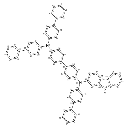 c1ccc(-c2ccc(N(c3ccc(-c4ccccc4)cc3)c3ccc(-c4ccc(N(c5ccc(-c6ccccc6)cc5)c5ccc6c(c5)sc5ccccc56)cc4)cc3)cc2)cc1